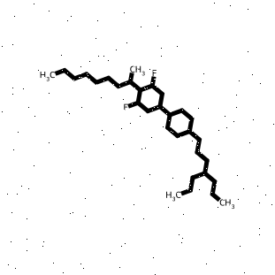 CCCCCCCC(C)C1C(F)CC(C2CCC(CCCC(CCC)CCC)CC2)CC1F